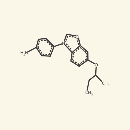 CCC(C)Oc1ccc2c(c1)ncn2-c1ccc(N)cc1